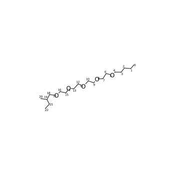 CCCCCOCCOCCOCCOCCOCC(C)CC